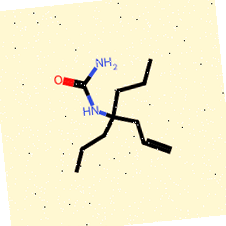 C=CCC(CCC)(CCC)NC(N)=O